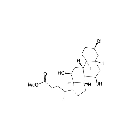 COC(=O)CC[C@@H](C)[C@H]1CC[C@H]2C3[C@H](O)C[C@H]4C[C@H](O)CC[C@]4(C)[C@H]3C[C@H](O)[C@]12C